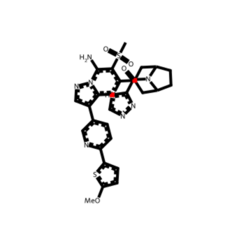 COc1ccc(-c2ccc(-c3cnn4c(N)c(S(C)(=O)=O)c(C5CC6CCC(C5)N6C(=O)c5nnc[nH]5)nc34)cn2)s1